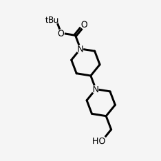 CC(C)(C)OC(=O)N1CCC(N2CCC(CO)CC2)CC1